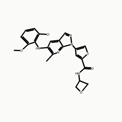 COc1cccc(Cl)c1Nc1cc2cnn(-c3csc(C(=O)NC4COC4)c3)c2nc1C